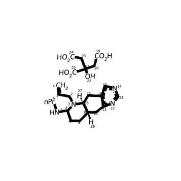 C=CCN1C(NCCC)CC[C@H]2Cc3ncncc3C[C@@H]21.O=C(O)CC(O)(CC(=O)O)C(=O)O